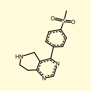 CS(=O)(=O)c1ccc(-c2ncnc3c2CNCC3)cc1